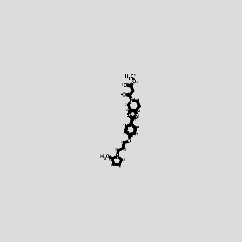 COC(=O)CC(=O)N1CCc2nc(-c3ccc(OCCCN4CCCC4C)cc3)sc2C1